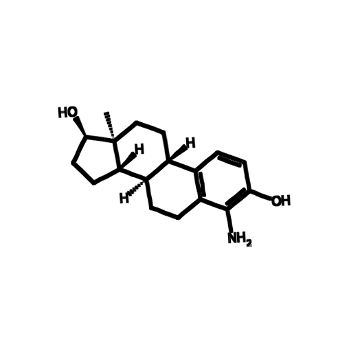 C[C@]12CC[C@@H]3c4ccc(O)c(N)c4CC[C@H]3[C@@H]1CC[C@H]2O